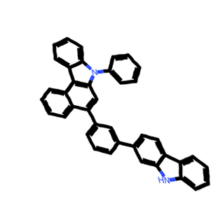 c1ccc(-n2c3ccccc3c3c4ccccc4c(-c4cccc(-c5ccc6c(c5)[nH]c5ccccc56)c4)cc32)cc1